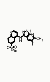 Cc1nc2[nH]nc(Nc3ccnc4ccc(S(=O)(=O)C(C)(C)C)cc34)c2cc1F